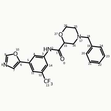 O=C(Nc1cc(-c2cnco2)cc(C(F)(F)F)c1)C1CN(Cc2ccccc2)CCO1